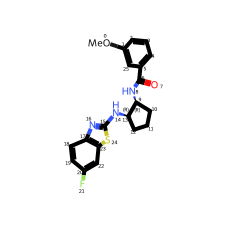 COc1cccc(C(=O)N[C@@H]2CCC[C@H]2Nc2nc3ccc(F)cc3s2)c1